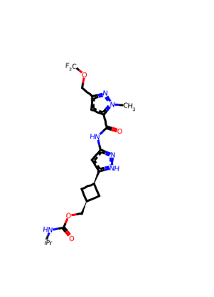 CC(C)NC(=O)OC[C@H]1C[C@@H](c2cc(NC(=O)c3cc(COC(F)(F)F)nn3C)n[nH]2)C1